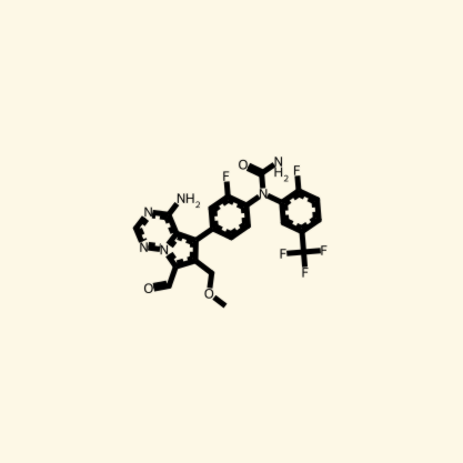 COCc1c(-c2ccc(N(C(N)=O)c3cc(C(F)(F)F)ccc3F)c(F)c2)c2c(N)ncnn2c1C=O